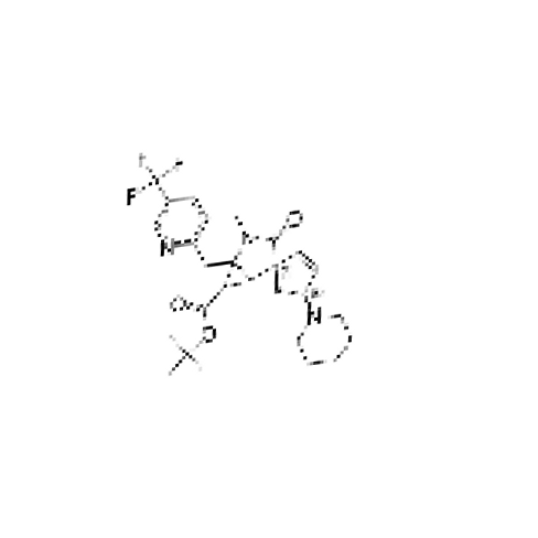 CC(C)(C)OC(=O)C1C2C13Cc1ncc(C(F)(F)F)cc1CN3C(=O)[C@]21C=C[C@@H](N2CCCCC2)C1